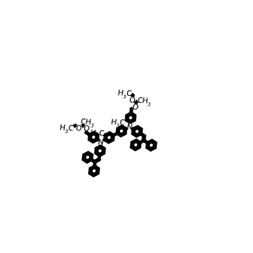 CCOC(C)OCc1ccc(N(c2ccc(C=C(c3ccccc3)c3ccccc3)cc2)c2ccc(-c3ccc(N(c4ccc(C=C(c5ccccc5)c5ccccc5)cc4)c4ccc(COC(C)OCC)cc4)c(C)c3)cc2C)cc1